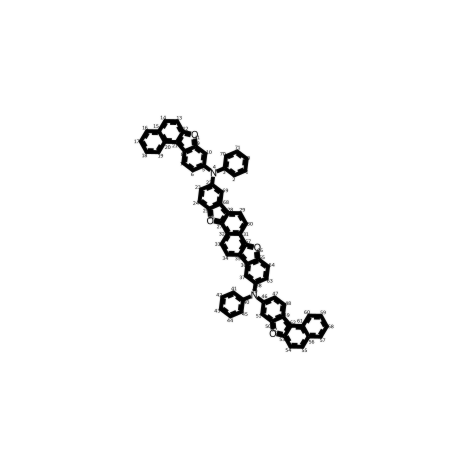 c1ccc(N(c2ccc3c(c2)oc2ccc4ccccc4c23)c2ccc3oc4c(ccc5c4ccc4c6cc(N(c7ccccc7)c7ccc8c(c7)oc7ccc9ccccc9c78)ccc6oc45)c3c2)cc1